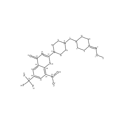 CON=C1CCC(CN2CCN(c3nc(=O)c4cc(C(F)(F)F)cc([N+](=O)[O-])c4s3)CC2)CC1